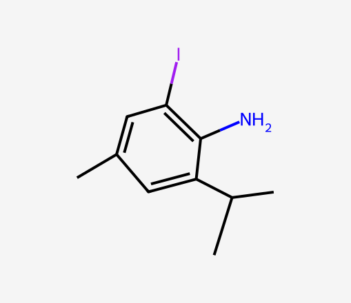 Cc1cc(I)c(N)c(C(C)C)c1